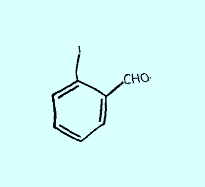 O=[C]c1ccccc1I